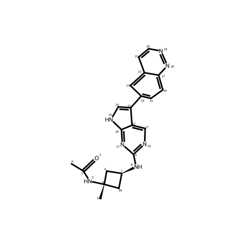 CC(=O)N[C@]1(C)C[C@@H](Nc2ncc3c(-c4ccc5nnccc5c4)c[nH]c3n2)C1